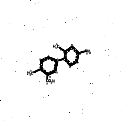 Cc1ccc(-c2ccc(N)cc2C)cc1C(=O)O